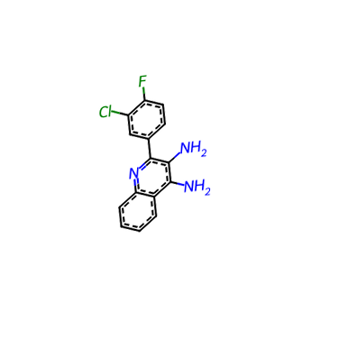 Nc1c(-c2ccc(F)c(Cl)c2)nc2ccccc2c1N